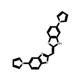 C(=C1\Nc2cc(-n3cccc3)ccc2S1)/c1nc2cc(-n3cccc3)ccc2s1